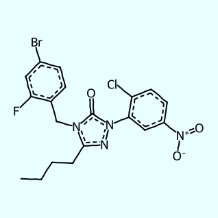 CCCCc1nn(-c2cc([N+](=O)[O-])ccc2Cl)c(=O)n1Cc1ccc(Br)cc1F